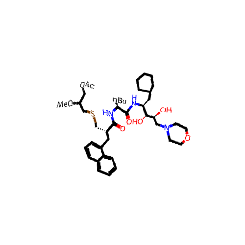 CCCC[C@H](NC(=O)[C@@H](CSCC(COC(C)=O)OC)Cc1cccc2ccccc12)C(=O)N[C@@H](CC1CCCCC1)[C@@H](O)[C@@H](O)CN1CCOCC1